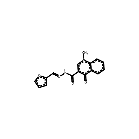 Cn1cc(C(=O)NN=Cc2ccco2)c(=O)c2ccccc21